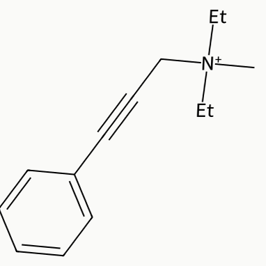 CC[N+](C)(CC)CC#Cc1ccccc1